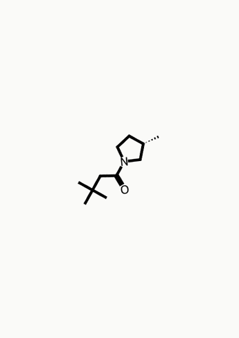 C[C@H]1CCN(C(=O)CC(C)(C)C)C1